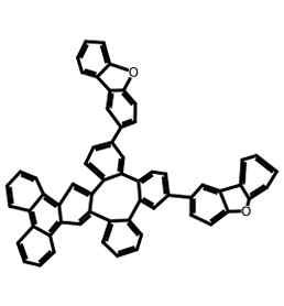 c1ccc2c(c1)-c1cc(-c3ccc4oc5ccccc5c4c3)ccc1-c1cc(-c3ccc4oc5ccccc5c4c3)ccc1-c1cc3c4ccccc4c4ccccc4c3cc1-2